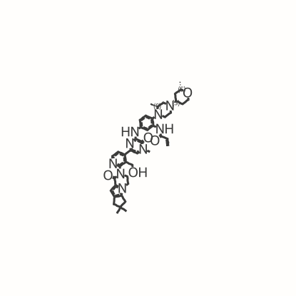 C=CC(=O)Nc1cc(Nc2nc(-c3ccnc(N4CCn5c(cc6c5CC(C)(C)C6)C4=O)c3CO)cn(C)c2=O)ccc1N1CCN([C@H]2CCO[C@@H](C)C2)C[C@@H]1C